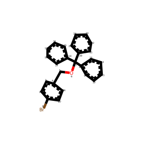 Brc1ccc(COC(c2ccccc2)(c2ccccc2)c2ccccc2)cc1